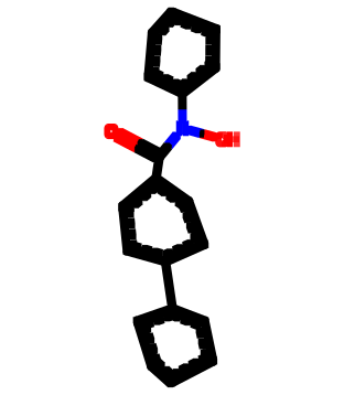 O=C(c1ccc(-c2ccccc2)cc1)N(O)c1ccccc1